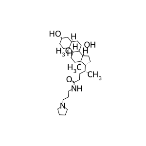 C[C@H](CCC(=O)NCCCN1CCCC1)[C@H]1CC[C@H]2[C@@H]3[C@@H](O)C[C@@H]4C[C@H](O)CC[C@]4(C)[C@H]3CC[C@]12C